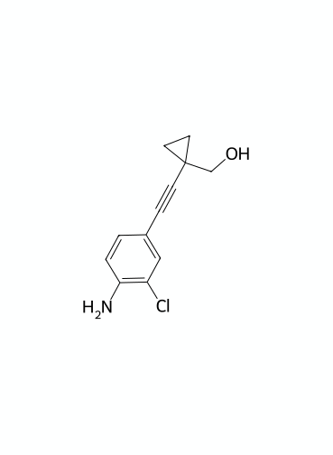 Nc1ccc(C#CC2(CO)CC2)cc1Cl